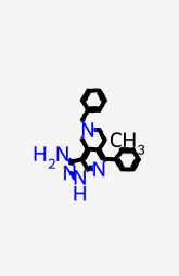 Cc1ccccc1-c1nc2[nH]nc(N)c2c2c1CCN(Cc1ccccc1)C2